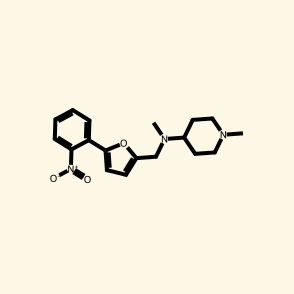 CN1CCC(N(C)Cc2ccc(-c3ccccc3[N+](=O)[O-])o2)CC1